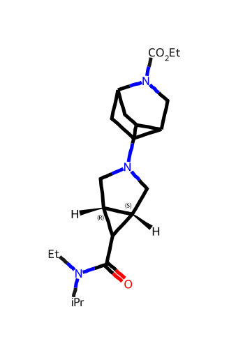 CCOC(=O)N1CC2CCC1CC2N1C[C@@H]2C(C(=O)N(CC)C(C)C)[C@@H]2C1